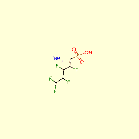 N.O=S(=O)(O)CC(F)C(F)C(F)C(F)F